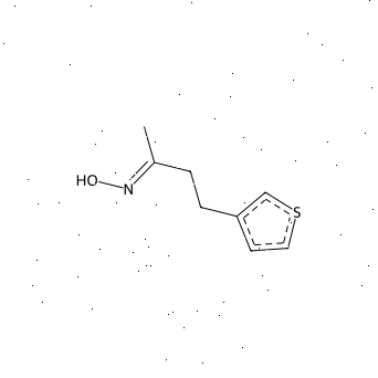 CC(CCc1ccsc1)=NO